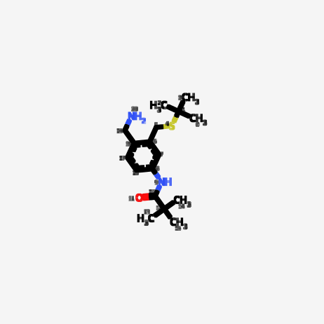 CC(C)(C)SCc1cc(NC(=O)C(C)(C)C)ccc1CN